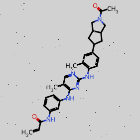 C=CC(=O)Nc1cccc(Nc2nc(Nc3ccc(C4CC5CN(C(C)=O)CC5C4)cc3C)ncc2C)c1